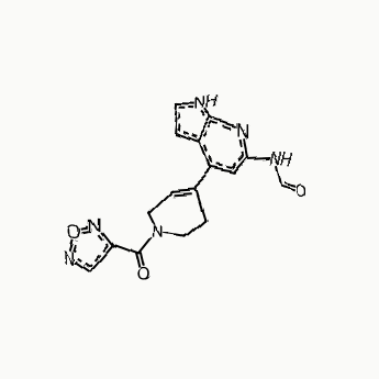 O=CNc1cc(C2=CCN(C(=O)c3cnon3)CC2)c2cc[nH]c2n1